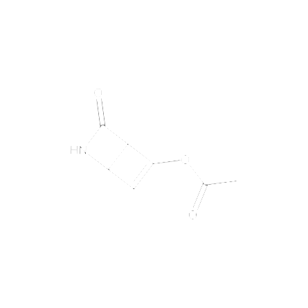 CC(=O)OC1=CC2NC(=O)C12